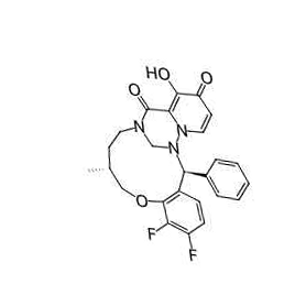 C[C@@H]1CCN2CN([C@@H](c3ccccc3)c3ccc(F)c(F)c3OC1)n1ccc(=O)c(O)c1C2=O